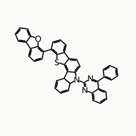 C1=CC2c3c(ccc4c3sc3c(-c5cccc6c5oc5ccccc56)cccc34)N(c3nc(-c4ccccc4)c4ccccc4n3)C2C=C1